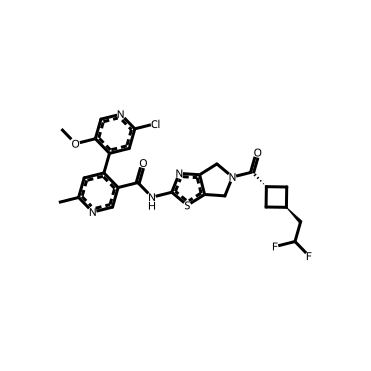 COc1cnc(Cl)cc1-c1cc(C)ncc1C(=O)Nc1nc2c(s1)CN(C(=O)[C@H]1C[C@H](CC(F)F)C1)C2